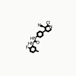 Cc1ccc(F)c(NC(=O)Nc2ccc(-c3ccnc(Cl)c3C#N)cc2)c1